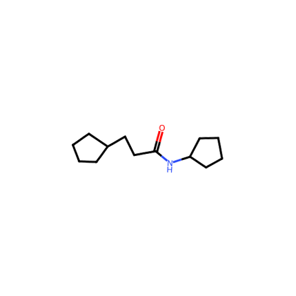 O=C(CCC1CCCC1)NC1CCCC1